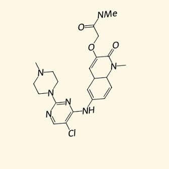 CNC(=O)COC1=CC2C=C(Nc3nc(N4CCN(C)CC4)ncc3Cl)C=CC2N(C)C1=O